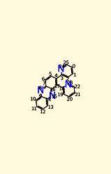 c1ccc(-c2ccc3nc4ccccc4nc3c2-c2ccccn2)nc1